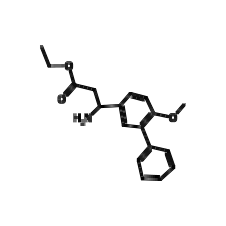 CCOC(=O)CC(N)c1ccc(OC)c(-c2ccccc2)c1